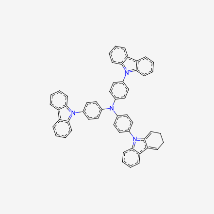 C1=c2c(n(-c3ccc(N(c4ccc(-n5c6ccccc6c6ccccc65)cc4)c4ccc(-n5c6ccccc6c6ccccc65)cc4)cc3)c3ccccc23)=CCC1